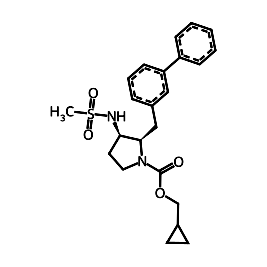 CS(=O)(=O)N[C@@H]1CCN(C(=O)OCC2CC2)[C@@H]1Cc1cccc(-c2ccccc2)c1